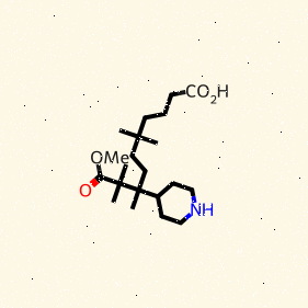 COC(=O)C(C)(C)C(C)(CCC(C)(C)CCCC(=O)O)C1CCNCC1